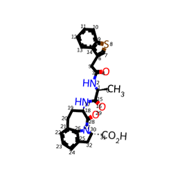 C[C@H](NC(=O)Cc1csc2ccccc12)C(=O)N[C@H]1CCc2cccc3c2N(C1=O)[C@H](C(=O)O)C3